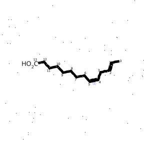 CC=CC/C=C\CCCCCCCC(=O)O